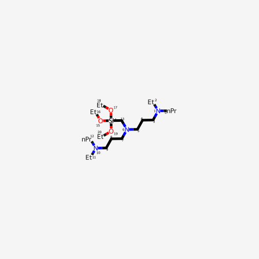 CCCN(CC)CCCN(CCCN(CC)CCC)C[Si](OCC)(OCC)OCC